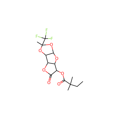 CCC(C)(C)C(=O)OC1C(=O)OC2C3OC(C)(C(F)(F)F)OC3OC12